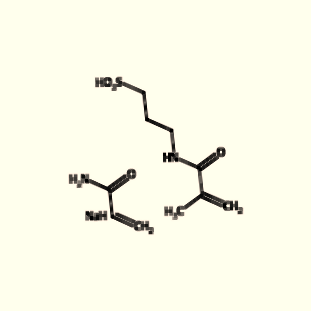 C=C(C)C(=O)NCCCS(=O)(=O)O.C=CC(N)=O.[NaH]